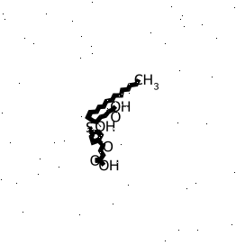 CCCCCCCCCCCC/C=C\[C@@H](Sc1ccc(C(=O)CCC(=O)O)cc1)[C@@H](O)CCCC(=O)O